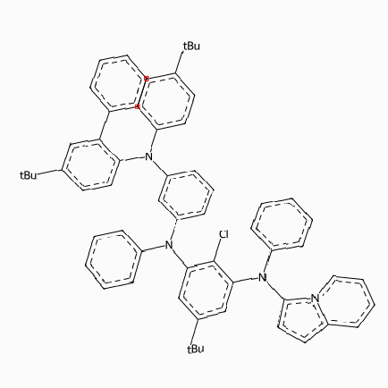 CC(C)(C)c1ccc(N(c2cccc(N(c3ccccc3)c3cc(C(C)(C)C)cc(N(c4ccccc4)c4ccc5ccccn45)c3Cl)c2)c2ccc(C(C)(C)C)cc2-c2ccccc2)cc1